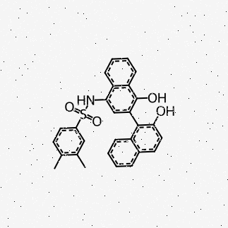 Cc1ccc(S(=O)(=O)Nc2cc(-c3c(O)ccc4ccccc34)c(O)c3ccccc23)cc1C